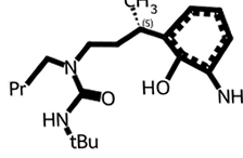 CC(C)CN(CC[C@H](C)c1cccc(N)c1O)C(=O)NC(C)(C)C